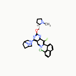 CN1CCC[C@H]1COc1nc(N2CC3CCC(C2)N3)c2cnc(-c3cccc4cccc(Cl)c34)c(F)c2n1